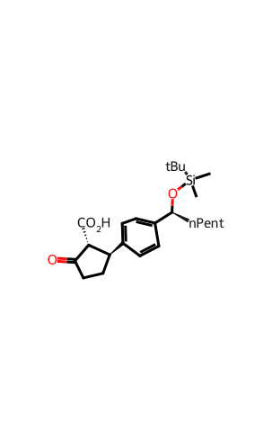 CCCCC[C@H](O[Si](C)(C)C(C)(C)C)c1ccc([C@H]2CCC(=O)[C@@H]2C(=O)O)cc1